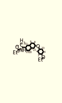 CCOc1ccc(Oc2ccc3cc(C(C)NC(=O)CC)ccc3c2)cc1